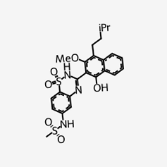 COc1c(C2=Nc3cc(NS(C)(=O)=O)ccc3S(=O)(=O)N2)c(O)c2ccccc2c1CCC(C)C